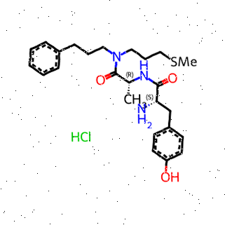 CSCCCN(CCCc1ccccc1)C(=O)[C@@H](C)NC(=O)[C@@H](N)Cc1ccc(O)cc1.Cl